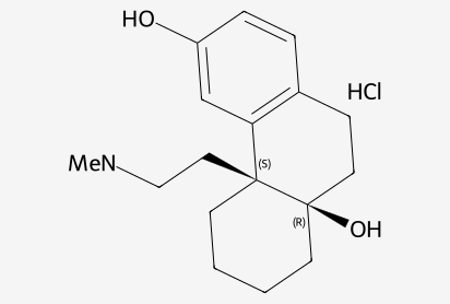 CNCC[C@]12CCCC[C@@]1(O)CCc1ccc(O)cc12.Cl